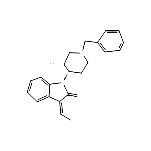 C/C=C1\C(=O)N([C@@H]2CCN(Cc3ccccc3)C[C@H]2C)c2ccccc21